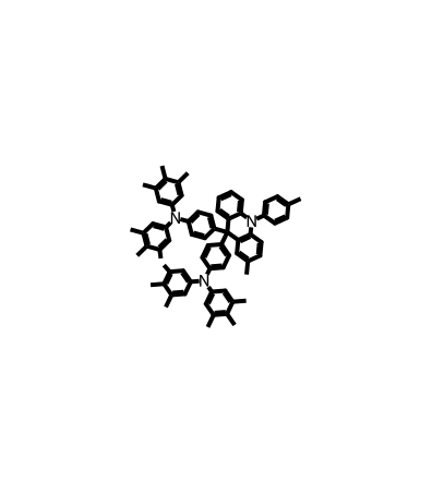 Cc1ccc(N2c3ccccc3C(c3ccc(N(c4cc(C)c(C)c(C)c4)c4cc(C)c(C)c(C)c4)cc3)(c3ccc(N(c4cc(C)c(C)c(C)c4)c4cc(C)c(C)c(C)c4)cc3)c3cc(C)ccc32)cc1